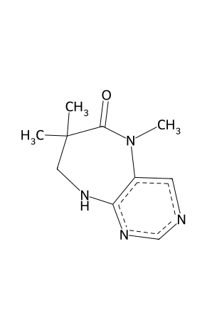 CN1C(=O)C(C)(C)CNc2ncncc21